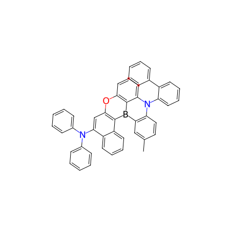 Cc1ccc2c(c1)B1c3c(cccc3N2c2ccccc2-c2ccccc2)Oc2cc(N(c3ccccc3)c3ccccc3)c3ccccc3c21